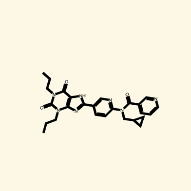 CCCn1c(=O)c2[nH]c(-c3ccc(N(CC4CC4)C(=O)c4cccnc4)nc3)nc2n(CCC)c1=O